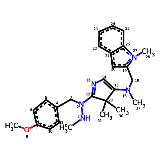 CNN(Cc1ccc(OC)cc1)C1=NC=C(N(C)Cc2cc3ccccc3n2C)C1(C)C